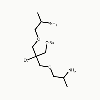 CCC(COCC(C)C)(COCC(C)N)COCC(C)N